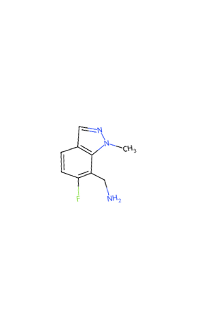 Cn1ncc2ccc(F)c(CN)c21